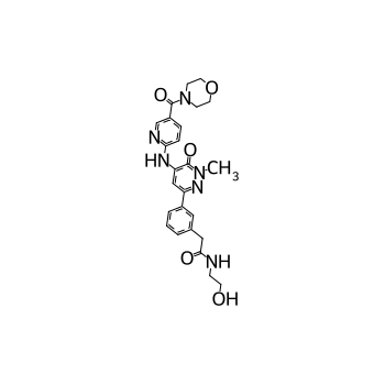 Cn1nc(-c2cccc(CC(=O)NCCO)c2)cc(Nc2ccc(C(=O)N3CCOCC3)cn2)c1=O